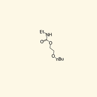 CCCCOCCOC(=O)NCC